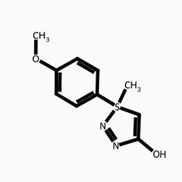 COc1ccc(S2(C)C=C(O)N=N2)cc1